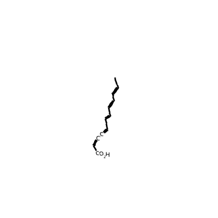 C/C=C/C=C/C=C/C=C=C=CC(=O)O